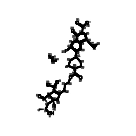 C[C@@H](O)[C@@H]1C(=O)N2C(C(=O)[O-])=C(SCCOC(=O)N3CCN(c4cc5c(cc4F)c(=O)c(C(=O)[O-])cn5C4CC4)CC3)S[C@H]12.[Na+].[Na+]